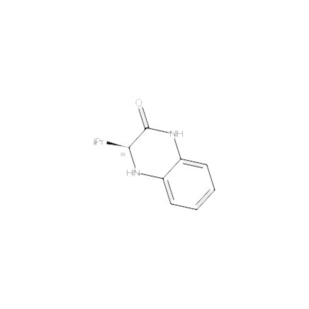 CC(C)[C@@H]1Nc2ccccc2NC1=O